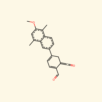 COc1cc(C)c2cc(C3=CC=C(C=O)C(=C=O)C3)ccc2c1C